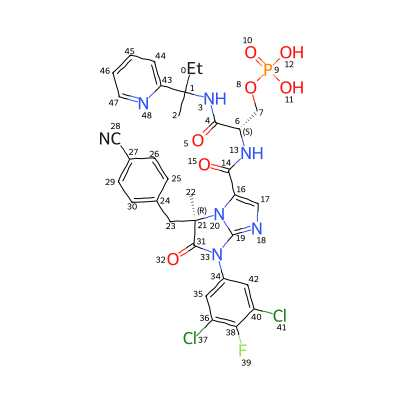 CCC(C)(NC(=O)[C@H](COP(=O)(O)O)NC(=O)c1cnc2n1[C@](C)(Cc1ccc(C#N)cc1)C(=O)N2c1cc(Cl)c(F)c(Cl)c1)c1ccccn1